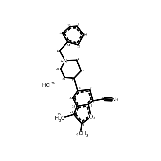 Cc1oc2c(C#N)cc(C3CCN(Cc4ccccc4)CC3)cc2c1C.Cl